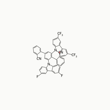 N#Cc1ccccc1-c1cc(-n2c3ccc(F)cc3c3cc(F)ccc32)c(-c2ccccc2C#N)c(-n2c3ccc(C(F)(F)F)cc3c3cc(C(F)(F)F)ccc32)c1